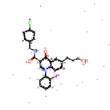 O=C(NCc1ccc(Cl)cc1)c1cn(-c2ccccc2I)c2ccc(CCCO)cc2c1=O